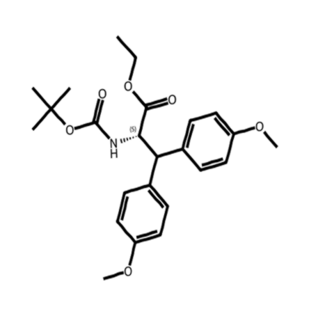 CCOC(=O)[C@@H](NC(=O)OC(C)(C)C)C(c1ccc(OC)cc1)c1ccc(OC)cc1